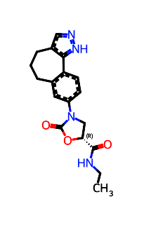 CCNC(=O)[C@H]1CN(c2ccc3c(c2)CCCc2cn[nH]c2-3)C(=O)O1